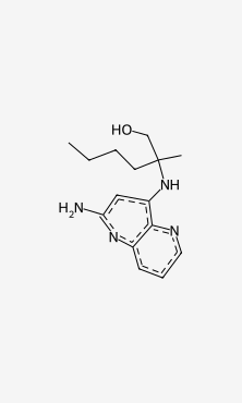 CCCCC(C)(CO)Nc1cc(N)nc2cccnc12